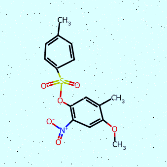 COc1cc([N+](=O)[O-])c(OS(=O)(=O)c2ccc(C)cc2)cc1C